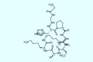 CC(C)[C@H](NC(=O)[C@H](CC(=O)O)NC(=O)CNC(=O)[C@@H]1CCCN1C(=O)[C@H](Cc1c[nH]cn1)NC(=O)CNC(=O)CN)C(=O)N[C@@H](CCCCN)C(=O)N[C@@H](CCCNC(=N)N)C(=O)O